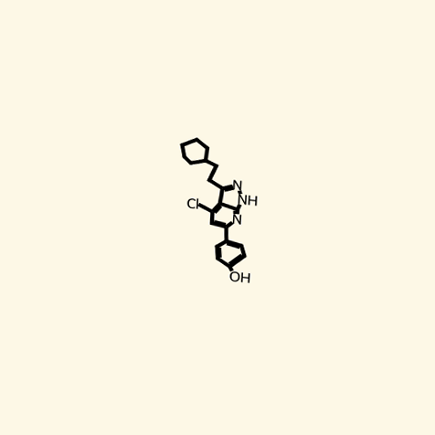 Oc1ccc(-c2cc(Cl)c3c(CCC4CCCCC4)n[nH]c3n2)cc1